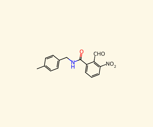 Cc1ccc(CNC(=O)c2cccc([N+](=O)[O-])c2C=O)cc1